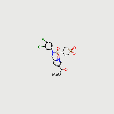 COC(=O)c1ccc(CN(c2ccc(F)c(Cl)c2)S(=O)(=O)C2CCS(=O)(=O)CC2)nc1